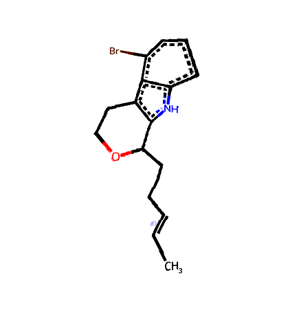 C/C=C/CC[C]1OCCc2c1[nH]c1cccc(Br)c21